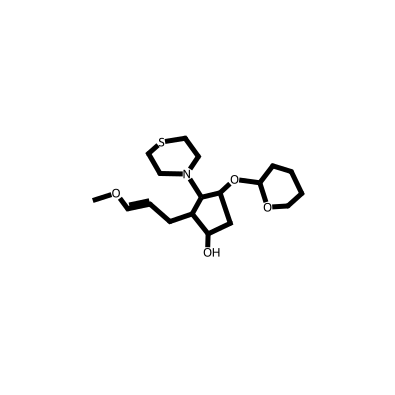 COC=CCC1C(O)CC(OC2CCCCO2)C1N1CCSCC1